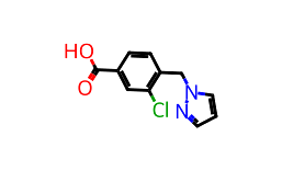 O=C(O)c1ccc(Cn2cccn2)c(Cl)c1